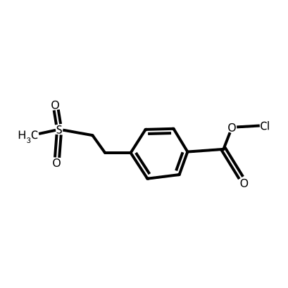 CS(=O)(=O)CCc1ccc(C(=O)OCl)cc1